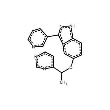 CC(Oc1ccc2[nH]nc(-c3cccnc3)c2c1)c1ccncn1